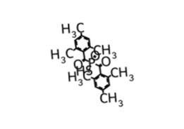 Cc1cc(C)c(C(=O)P(=O)(S)C(=O)c2c(C)cc(C)cc2C)c(C)c1